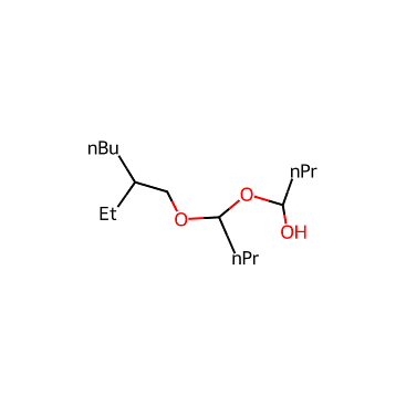 CCCCC(CC)COC(CCC)OC(O)CCC